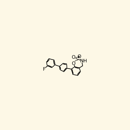 O=S1(=O)NCc2cccc(-c3ccc(-c4cccc(F)c4)cc3)c2O1